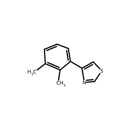 Cc1cccc(-c2cs[c]n2)c1C